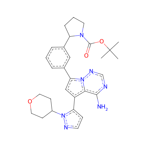 CC(C)(C)OC(=O)N1CCCC1c1cccc(-c2cc(-c3ccnn3C3CCOCC3)c3c(N)ncnn23)c1